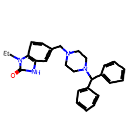 CCn1c(=O)[nH]c2cc(CN3CCN(C(c4ccccc4)c4ccccc4)CC3)ccc21